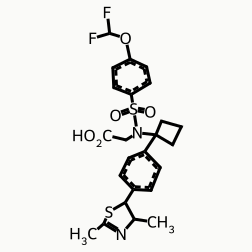 CC1=NC(C)C(c2ccc(C3(N(CC(=O)O)S(=O)(=O)c4ccc(OC(F)F)cc4)CCC3)cc2)S1